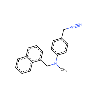 CN(Cc1cccc2ccccc12)c1ccc(C[N+]#N)cc1